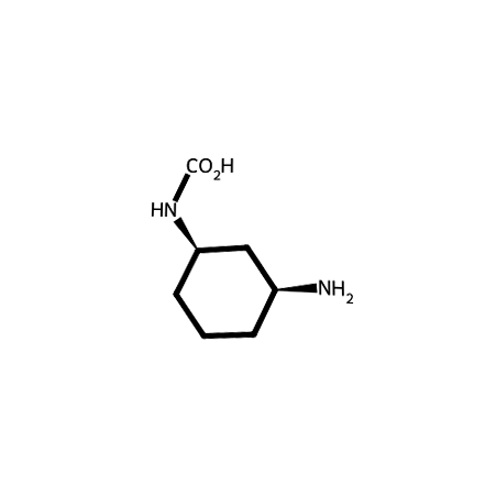 N[C@H]1CCC[C@@H](NC(=O)O)C1